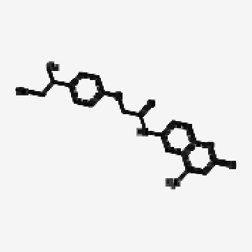 Cc1cc(=O)oc2ccc(NC(=O)COc3ccc(C(CC(C)(C)C)C(C)(C)C)cc3)cc12